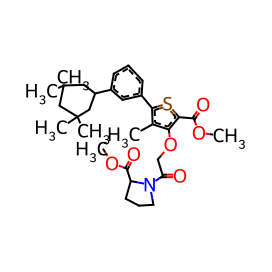 COC(=O)c1sc(-c2cccc(C3CC(C)(C)CC(C)(C)C3)c2)c(C)c1OCC(=O)N1CCCC1C(=O)OC